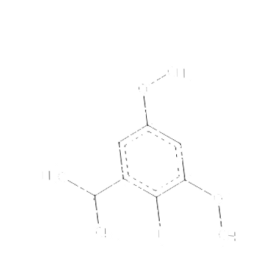 COc1cc(OC)c(F)c(C(C)C)c1